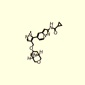 Cn1ncc(COC2C[C@H]3COC[C@@H](C2)N3)c1-c1ccn2nc(NC(=O)C3CC3)cc2c1